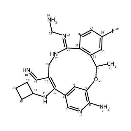 CC1Oc2cc(cnc2N)/C(NC2CCC2)=C(/C=N)CN/C(=N\CN)c2ccc(F)cc21